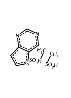 CS(=O)(=O)O.CS(=O)(=O)O.c1ncc2sccc2n1